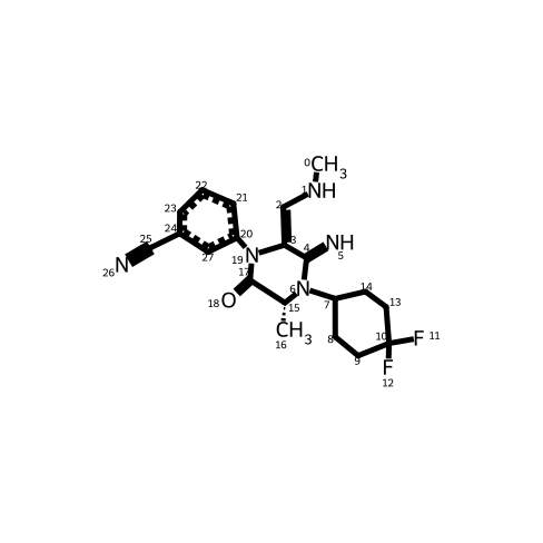 CN/C=C1\C(=N)N(C2CCC(F)(F)CC2)[C@H](C)C(=O)N1c1cccc(C#N)c1